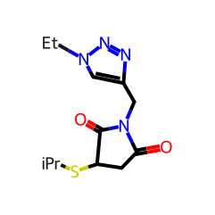 CCn1cc(CN2C(=O)CC(SC(C)C)C2=O)nn1